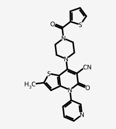 Cc1cc2c(s1)c(N1CCN(C(=O)c3cccs3)CC1)c(C#N)c(=O)n2-c1cccnc1